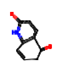 O=C1CC=Cc2[nH]c(=O)ccc21